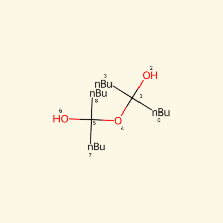 CCCCC(O)(CCCC)OC(O)(CCCC)CCCC